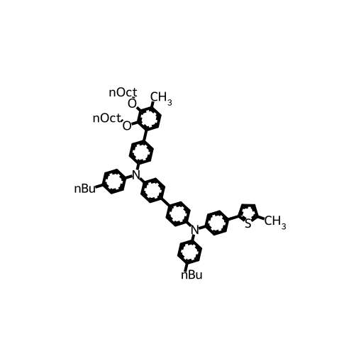 CCCCCCCCOc1c(C)ccc(-c2ccc(N(c3ccc(CCCC)cc3)c3ccc(-c4ccc(N(c5ccc(CCCC)cc5)c5ccc(-c6ccc(C)s6)cc5)cc4)cc3)cc2)c1OCCCCCCCC